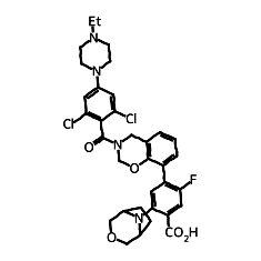 CCN1CCN(c2cc(Cl)c(C(=O)N3COc4c(cccc4-c4cc(N5C6CCC5COC6)c(C(=O)O)cc4F)C3)c(Cl)c2)CC1